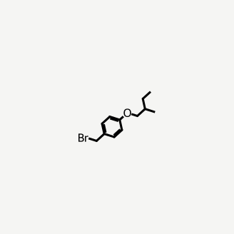 CCC(C)COc1ccc(CBr)cc1